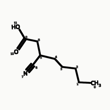 CCCCCC(C#N)CC(=O)O